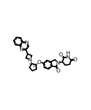 O=C1CCC(N2Cc3cc(O[C@H]4CCC[C@@H]4N4CC(c5cnc6ccccc6n5)C4)ccc3C2=O)C(=O)N1